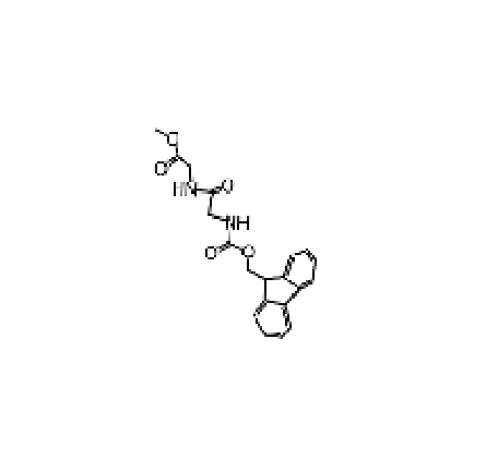 COC(=O)CNC(=O)CNC(=O)OCC1c2ccccc2-c2ccccc21